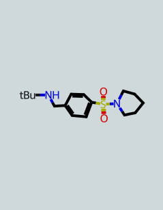 CC(C)(C)NCc1ccc(S(=O)(=O)N2CCCCC2)cc1